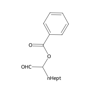 CCCCCCCC(C=O)OC(=O)c1ccccc1